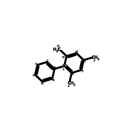 Cc1cc(C)[n+](-c2ccccc2)c(C)c1